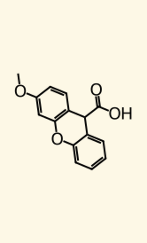 COc1ccc2c(c1)Oc1ccccc1C2C(=O)O